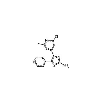 Cc1nc(Cl)cc(-c2nc(N)sc2-c2ccncc2)n1